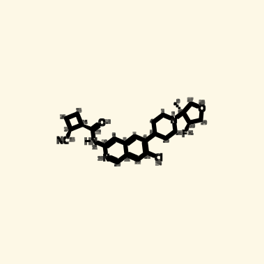 C[C@]1(N2CCC(c3cc4cc(NC(=O)[C@@H]5CC[C@@H]5C#N)ncc4cc3Cl)CC2)COC[C@H]1F